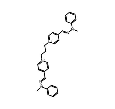 CN(N=Cc1cc[n+](CCC[n+]2ccc(C=NN(C)c3ccccc3)cc2)cc1)c1ccccc1